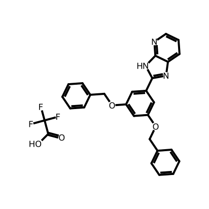 O=C(O)C(F)(F)F.c1ccc(COc2cc(OCc3ccccc3)cc(-c3nc4cccnc4[nH]3)c2)cc1